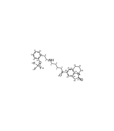 O=C(CCCCNCCc1ccccc1OC(F)(F)F)c1cc2c3c(c1)CC(=O)N3CCC2